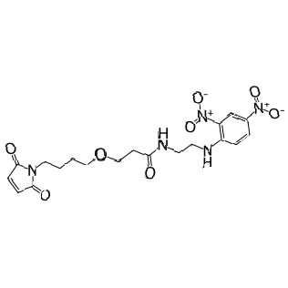 O=C(CCOCCCCN1C(=O)C=CC1=O)NCCNc1ccc([N+](=O)[O-])cc1[N+](=O)[O-]